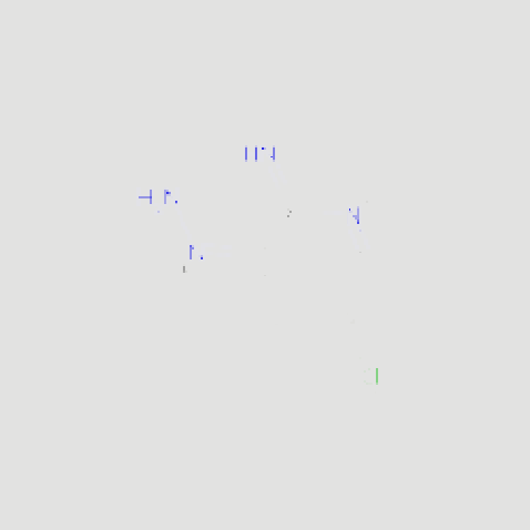 N=C1N=CC(Cl)=C/C1=N/N